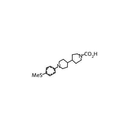 CSc1ccc(N2CCC(C3CCN(C(=O)O)CC3)CC2)cc1